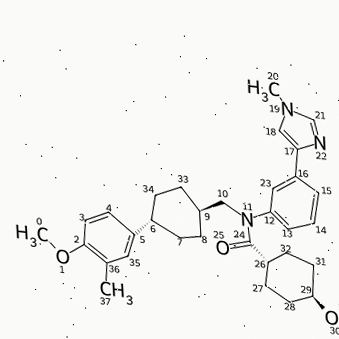 COc1ccc([C@H]2CC[C@H](CN(c3cccc(-c4cn(C)cn4)c3)C(=O)[C@H]3CC[C@H](O)CC3)CC2)cc1C